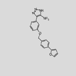 Nc1[nH]nnc1-c1cccc(OCc2ccc(-c3ccco3)cc2)c1